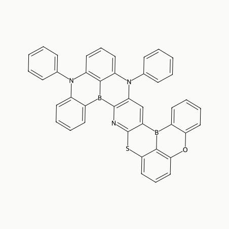 c1ccc(N2c3ccccc3B3c4nc5c(cc4N(c4ccccc4)c4cccc2c43)B2c3ccccc3Oc3cccc(c32)S5)cc1